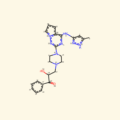 Cc1cc(Nc2nc(N3CCN(CC(O)C(=O)c4ccccc4)CC3)nn3cccc23)n[nH]1